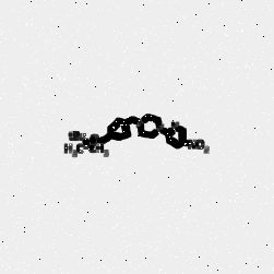 CC(C)(C)[Si](C)(C)OCc1ccc(CN2CCN(c3ccc([N+](=O)[O-])cn3)CC2)cc1